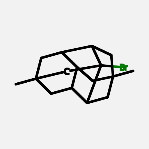 CC12CC3C4CC5(C)CC3C(C1)C(Br)(C5)C4C2